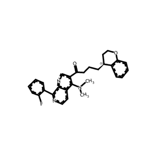 CN(C)c1c(C(=O)CCC[C@H]2CCOc3ccccc32)cnc2c(-c3ccccc3F)nccc12